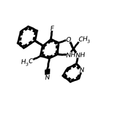 Cc1c(C#N)c2c(c(F)c1-c1ccccc1)OC(C)(Nc1ccccn1)N2